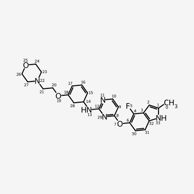 Cc1cc2c(F)c(Oc3ccnc(NC4C=CC=C(OCCN5CCOCC5)C4)n3)ccc2[nH]1